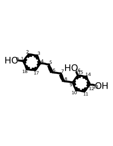 Oc1ccc(C=CC=Cc2ccc(O)cc2O)cc1